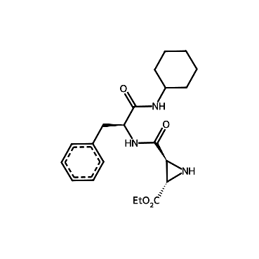 CCOC(=O)[C@H]1N[C@@H]1C(=O)N[C@@H](Cc1ccccc1)C(=O)NC1CCCCC1